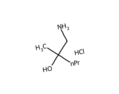 CCCC(C)(O)CN.Cl